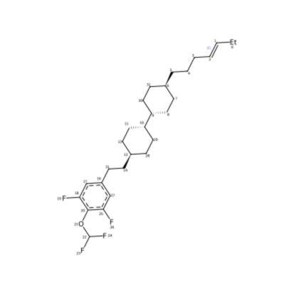 CC/C=C/CCC[C@H]1CC[C@H]([C@H]2CC[C@H](CCc3cc(F)c(OC(F)F)c(F)c3)CC2)CC1